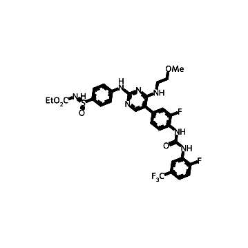 CCOC(=O)N=[SH](=O)c1ccc(Nc2ncc(-c3ccc(NC(=O)Nc4cc(C(F)(F)F)ccc4F)c(F)c3)c(NCCOC)n2)cc1